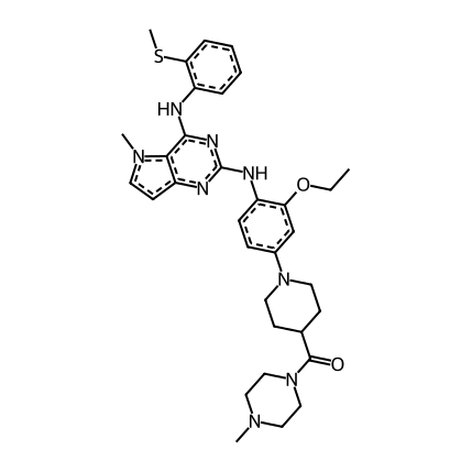 CCOc1cc(N2CCC(C(=O)N3CCN(C)CC3)CC2)ccc1Nc1nc(Nc2ccccc2SC)c2c(ccn2C)n1